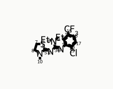 CCN(CC)C(N=C1SCCN1C)=Nc1cc(C(F)(F)F)ccc1Cl